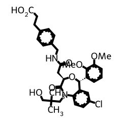 COc1cccc([C@H]2O[C@H](CC(=O)NCc3ccc(CCC(=O)O)cc3)C(=O)N(CC(C)(C)CO)c3ccc(Cl)cc32)c1OC